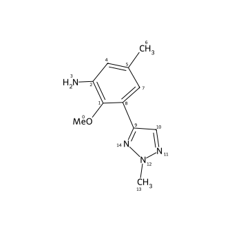 COc1c(N)cc(C)cc1-c1cnn(C)n1